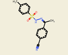 CC(=NNS(=O)(=O)c1ccc(C)cc1)c1ccc(C#N)cc1